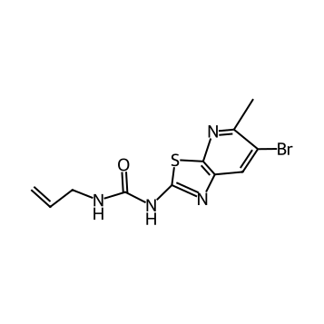 C=CCNC(=O)Nc1nc2cc(Br)c(C)nc2s1